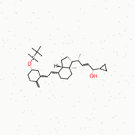 C=C1CC[C@H](O[Si](C)(C)C(C)(C)C)C/C1=C\C=C1/CCC[C@]2(C)[C@@H]([C@H](C)/C=C/[C@@H](O)C3CC3)CC[C@@H]12